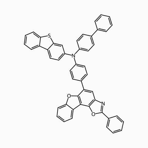 c1ccc(-c2ccc(N(c3ccc(-c4cc5nc(-c6ccccc6)oc5c5c4oc4ccccc45)cc3)c3ccc4c(c3)sc3ccccc34)cc2)cc1